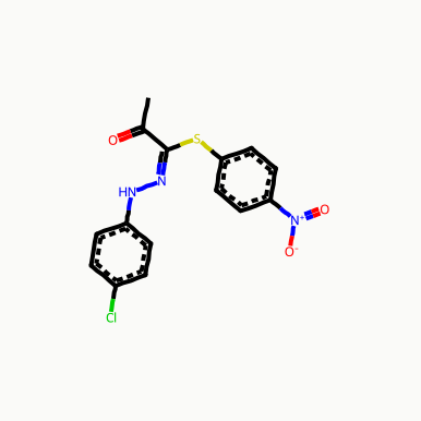 CC(=O)/C(=N\Nc1ccc(Cl)cc1)Sc1ccc([N+](=O)[O-])cc1